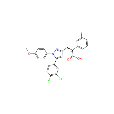 COc1ccc(-n2nc(C[C@H](C(=O)O)c3cccc(C)c3)cc2-c2ccc(Cl)c(Cl)c2)cc1